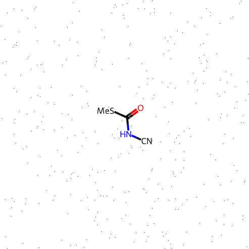 CSC(=O)NC#N